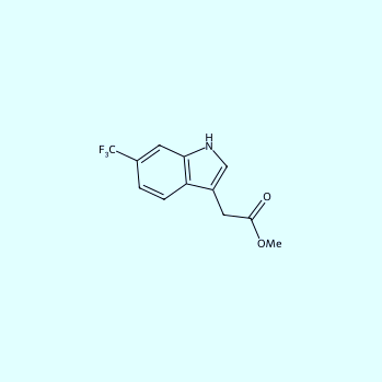 COC(=O)Cc1c[nH]c2cc(C(F)(F)F)ccc12